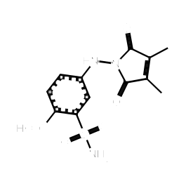 CC1=C(C)C(=O)N(Nc2ccc(C(=O)O)c(S(N)(=O)=O)c2)C1=O